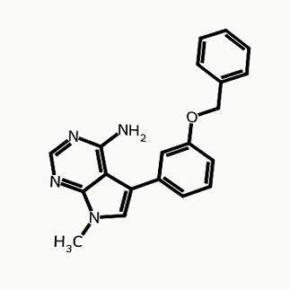 Cn1cc(-c2cccc(OCc3ccccc3)c2)c2c(N)ncnc21